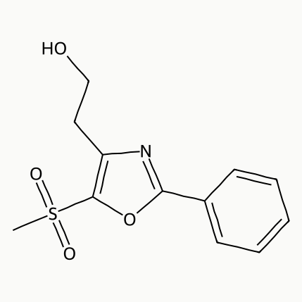 CS(=O)(=O)c1oc(-c2ccccc2)nc1CCO